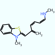 C=C(/C=C\C=C/NC)/C=C1\Sc2ccccc2N1C